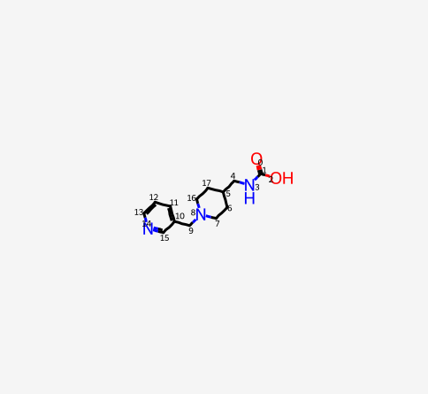 O=C(O)NCC1CCN(Cc2cccnc2)CC1